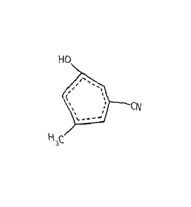 Cc1cc(O)cc(C#N)c1